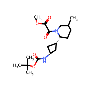 COC(=O)C(=O)N1CC(C)CCC1[C@H]1C[C@H](NC(=O)OC(C)(C)C)C1